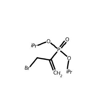 C=C(CBr)P(=O)(OC(C)C)OC(C)C